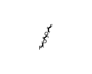 FCCOCCOCCF